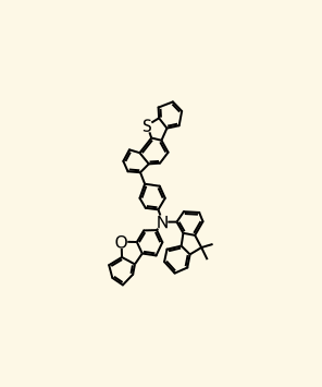 CC1(C)c2ccccc2-c2c(N(c3ccc(-c4cccc5c4ccc4c6ccccc6sc54)cc3)c3ccc4c(c3)oc3ccccc34)cccc21